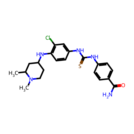 CC1CC(Nc2ccc(NC(=S)Nc3ccc(C(N)=O)cc3)cc2Cl)CCN1C